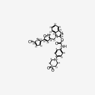 O=C(Nc1ccc(N2CCS(=O)(=O)CC2)cc1)Oc1nc2ccccc2n1Cc1cc(-c2ccc(Cl)s2)on1